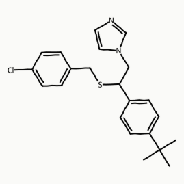 CC(C)(C)c1ccc(C(Cn2ccnc2)SCc2ccc(Cl)cc2)cc1